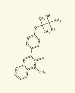 Cn1c(=O)c(-c2ccc(OC(C)(C)C(C)(O)S)cc2)cc2ccccc21